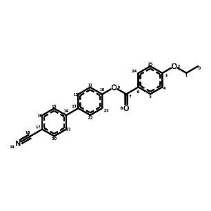 CCOc1ccc(C(=O)Oc2ccc(-c3ccc(C#N)cc3)cc2)cc1